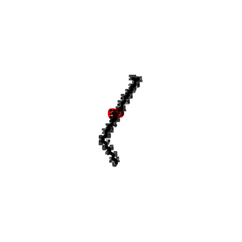 CCCCCCCC/C=C\CCCCCCCC(=O)OCCCCCCCCCCC(C)C